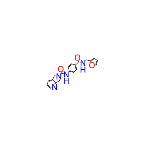 O=C(NCc1ccco1)c1ccc(NC(=O)N2Cc3cccnc3C2)cc1